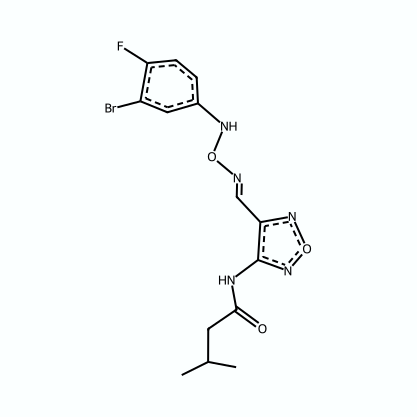 CC(C)CC(=O)Nc1nonc1/C=N/ONc1ccc(F)c(Br)c1